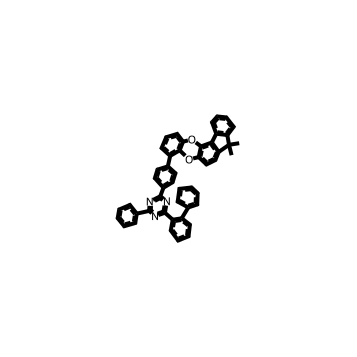 CC1(C)c2ccccc2-c2c1ccc1c2Oc2cccc(-c3ccc(-c4nc(-c5ccccc5)nc(-c5ccccc5-c5ccccc5)n4)cc3)c2O1